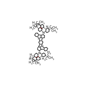 CC(C)c1ccc(N(c2ccc(C(C)(C)C)cc2-c2ccc(C(C)(C)C)cc2)c2ccc3c4cc5c(cc4n4c6ccccc6c2c34)c2ccc(N(c3ccc(C(C)C)cc3)c3ccc(C(C)(C)C)cc3-c3ccc(C(C)(C)C)cc3)c3c4ccccc4n5c23)cc1